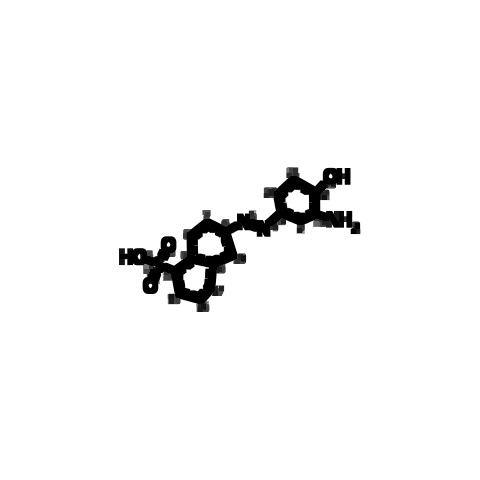 Nc1cc(N=Nc2ccc3c(S(=O)(=O)O)cccc3c2)ccc1O